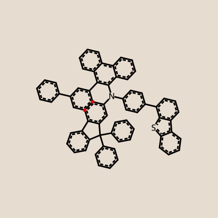 c1ccc(-c2cccc(-c3c(N(c4ccc(-c5cccc6c5sc5ccccc56)cc4)c4ccc5c(c4)C(c4ccccc4)(c4ccccc4)c4ccccc4-5)c4ccccc4c4ccccc34)c2)cc1